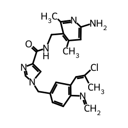 C=Nc1ccc(Cn2cnc(C(=O)NCc3c(C)cc(N)nc3C)c2)cc1/C=C(\C)Cl